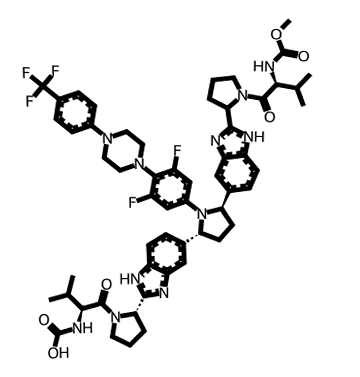 COC(=O)N[C@H](C(=O)N1CCCC1c1nc2cc([C@H]3CC[C@H](c4ccc5[nH]c([C@@H]6CCCN6C(=O)[C@@H](NC(=O)O)C(C)C)nc5c4)N3c3cc(F)c(N4CCN(c5ccc(C(F)(F)F)cc5)CC4)c(F)c3)ccc2[nH]1)C(C)C